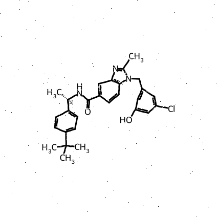 Cc1nc2cc(C(=O)N[C@@H](C)c3ccc(C(C)(C)C)cc3)ccc2n1Cc1cc(O)cc(Cl)c1